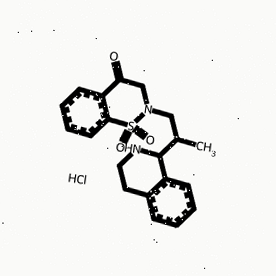 CC(CN1CC(=O)c2ccccc2S1(=O)=O)C1NCCc2ccccc21.Cl